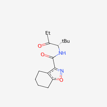 CCC(=O)[C@@H](NC(=O)c1noc2c1CCCC2)C(C)(C)C